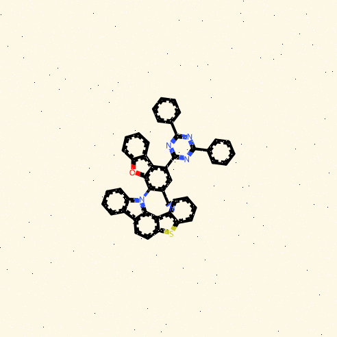 N#Cc1cc(-c2nc(-c3ccccc3)nc(-c3ccccc3)n2)c2c(oc3ccccc32)c1-n1c2ccccc2c2ccc3sc4ccccc4c3c21